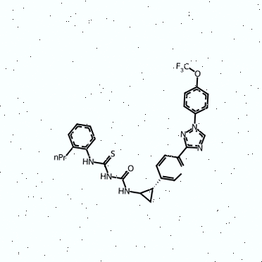 C=C(/C=C\C(=C/C)[C@@H]1CC1NC(=O)NC(=S)Nc1ccccc1CCC)c1ncn(-c2ccc(OC(F)(F)F)cc2)n1